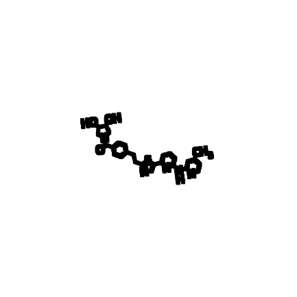 Cc1ccnc(Nc2cccc(-c3cnc(CCc4ccc(C(=O)N5C[C@@H](O)[C@@H](O)C5)cc4)s3)n2)c1